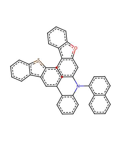 c1ccc(N(c2ccc3c(c2)oc2ccccc23)c2cccc3ccccc23)c(-c2ccc3sc4ccccc4c3c2)c1